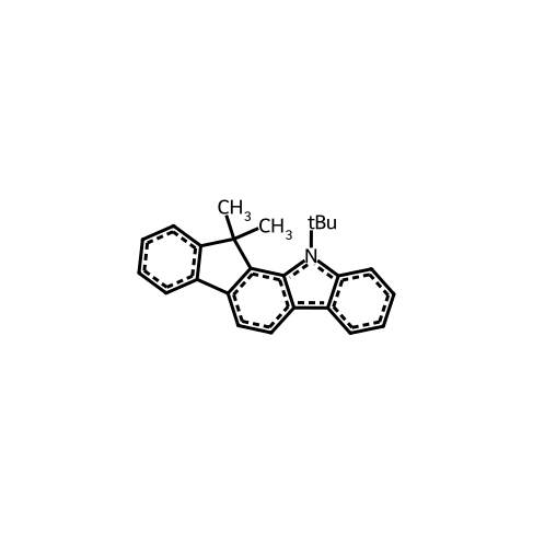 CC1(C)c2ccccc2-c2ccc3c4ccccc4n(C(C)(C)C)c3c21